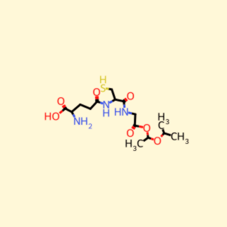 CC(C)OC(C)OC(=O)CNC(=O)C(CS)NC(=O)CCC(N)C(=O)O